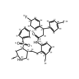 C[C@H]1CN(S(=O)(=O)c2ccccc2)[C@@H](CCc2c(F)cccc2NC(=O)CC(C2=CCC(F)C=C2)c2ccc(F)cc2)CN1